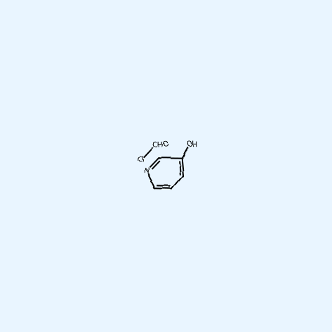 O=CCl.Oc1cccnc1